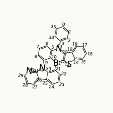 c1ccc(N2c3cccc4c3B(c3sc5ccccc5c32)c2cccc3c5cccnc5n-4c23)cc1